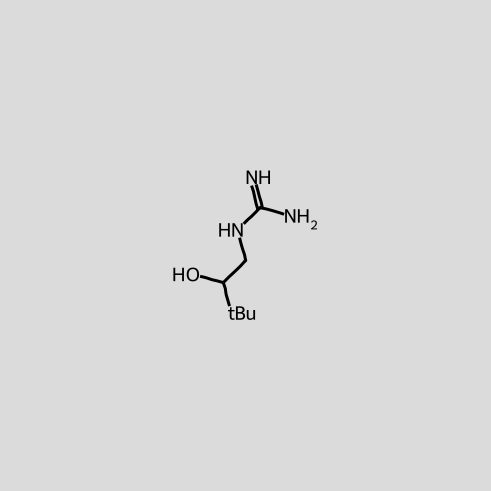 CC(C)(C)C(O)CNC(=N)N